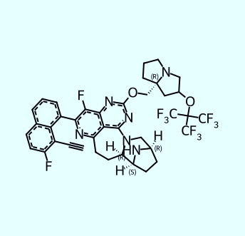 C#Cc1c(F)ccc2cccc(-c3nc4c5c(nc(OC[C@]67CCCN6CC(OC(C(F)(F)F)(C(F)(F)F)C(F)(F)F)C7)nc5c3F)N3C[C@H]5CC[C@H](N5)[C@H]3CC4)c12